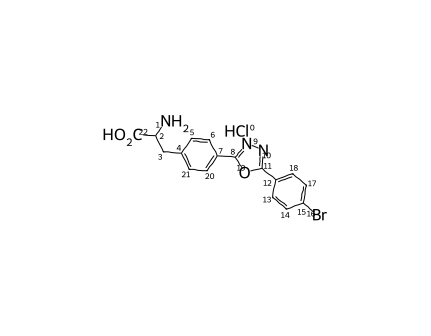 Cl.NC(Cc1ccc(-c2nnc(-c3ccc(Br)cc3)o2)cc1)C(=O)O